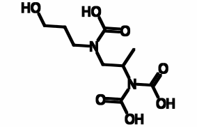 CC(CN(CCCO)C(=O)O)N(C(=O)O)C(=O)O